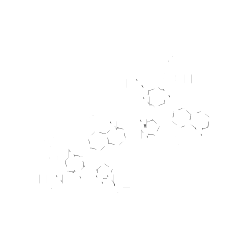 CC(C)Oc1nc(-c2cc(Cl)c3ncccc3c2)c(-c2ccn(Cc3cnc4c(Cl)cc(-c5nc(OC6CC6)c(N)nc5-c5ccn(C)n5)cc4c3)n2)nc1N